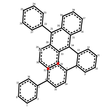 c1ccc(-c2ccc(-c3ccccc3-c3c4ccccc4c(-c4ccccc4)c4ncccc34)cc2)cc1